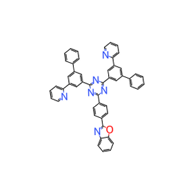 c1ccc(-c2cc(-c3ccccn3)cc(-c3nc(-c4ccc(-c5nc6ccccc6o5)cc4)nc(-c4cc(-c5ccccc5)cc(-c5ccccn5)c4)n3)c2)cc1